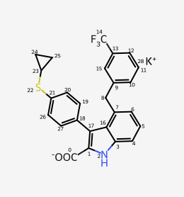 O=C([O-])c1[nH]c2cccc(Cc3cccc(C(F)(F)F)c3)c2c1-c1ccc(SC2CC2)cc1.[K+]